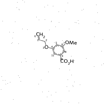 C=CCOc1cc(OC)cc(C(=O)O)c1